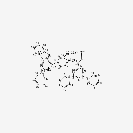 c1ccc(-c2cc(-c3ccccc3)nc(-c3cccc4oc5cc(-c6nc(-c7ccccc7)nc7c6sc6ccccc67)ccc5c34)n2)cc1